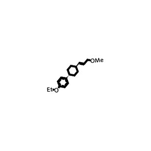 CCOc1ccc([C@H]2CC[C@H](/C=C/COC)CC2)cc1